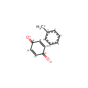 Cc1ccccc1.O=C1C=CC(=O)C=C1